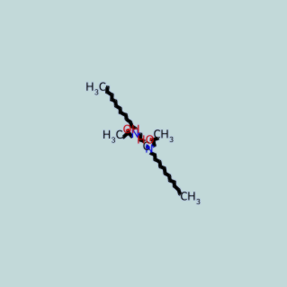 CCCCCCCCCCCCCCN(CCCCN(CCCCCCCCCCCCCC)CC(O)CC)CC(O)CC